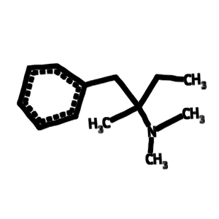 CCC(C)(Cc1ccccc1)N(C)C